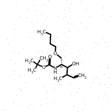 C=CC(C)C(O)[C@@H](COCCCC)NC(=O)OC(C)(C)C